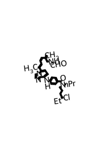 C=C(/C=C\C=C(/C)c1ccc(Nc2ccc(C(=O)N(CCC)CCCC(Cl)CC)cc2)c2nccn12)CNC=O